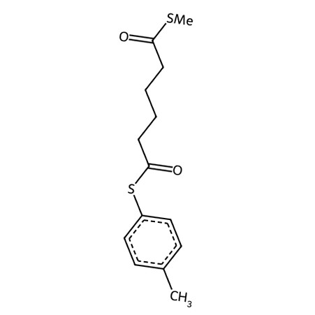 CSC(=O)CCCCC(=O)Sc1ccc(C)cc1